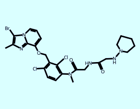 Cc1nc2c(OCc3c(Cl)ccc(N(C)C(=O)CNC(=O)CNN4CCCCC4)c3Cl)cccn2c1Br